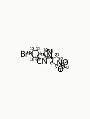 CS(=O)(=O)N1CCC(n2cc(-c3ccc(Br)cc3C#N)cn2)CC1